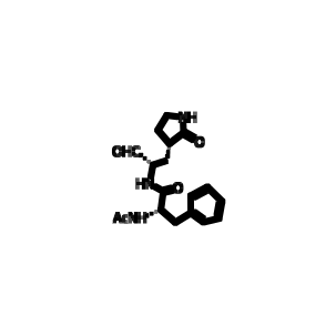 CC(=O)N[C@@H](Cc1ccccc1)C(=O)N[C@H](C=O)C[C@@H]1CCNC1=O